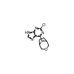 Clc1nc(N2C3CCC2COC3)c2nc[nH]c2n1